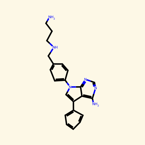 NCCCNCc1ccc(-n2cc(-c3ccccc3)c3c(N)ncnc32)cc1